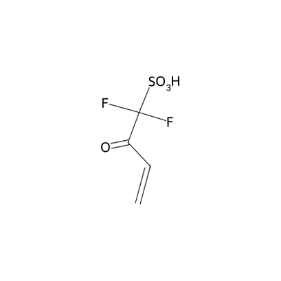 C=CC(=O)C(F)(F)S(=O)(=O)O